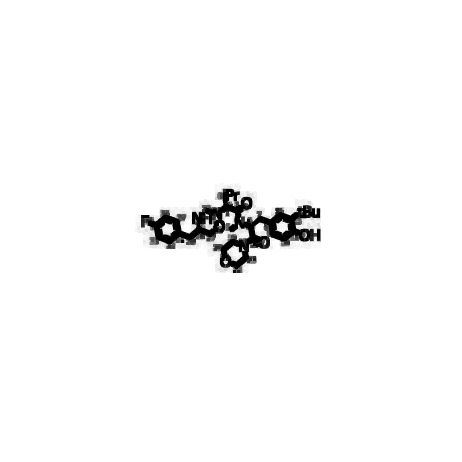 CC(C)[C@@H](C(=O)N(C)[C@@H](Cc1ccc(O)c(C(C)(C)C)c1)C(=O)N1CCOCC1)N(C)OC[C@@H](N)Cc1ccc(F)cc1